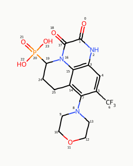 O=c1[nH]c2cc(C(F)(F)F)c(N3CCOCC3)c3c2n(c1=O)C(P(=O)(O)O)CC3